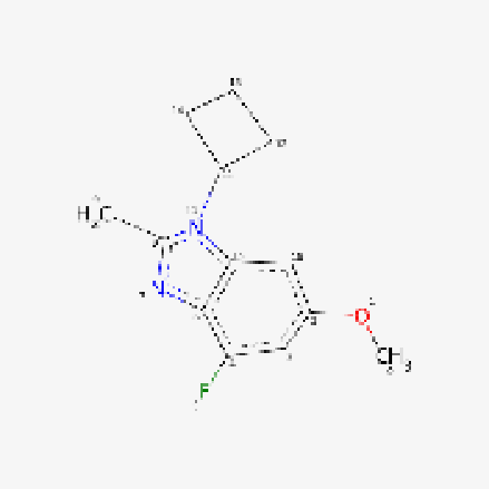 COc1cc(F)c2nc(C)n(C3CCC3)c2c1